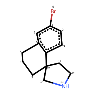 Brc1ccc2c(c1)CCCC21CCNC1